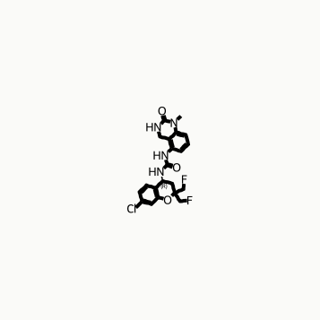 CN1C(=O)NCc2c(NC(=O)N[C@@H]3CC(CF)(CF)Oc4cc(Cl)ccc43)cccc21